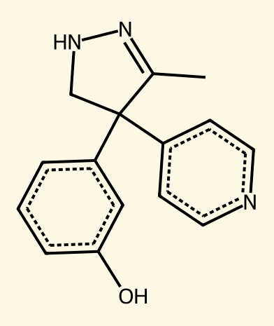 CC1=NNCC1(c1ccncc1)c1cccc(O)c1